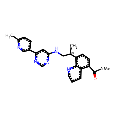 CNC(=O)c1ccc([C@H](C)CNc2cc(-c3ccc(C)nc3)ncn2)c2ncccc12